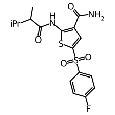 CC(C)C(C)C(=O)Nc1sc(S(=O)(=O)c2ccc(F)cc2)cc1C(N)=O